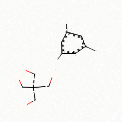 O=C(O)c1cc(C(=O)O)cc(C(=O)O)c1.OCC(CO)(CO)CO